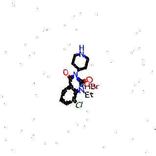 Br.CCn1c(=O)n(C2CCNCC2)c(=O)c2cccc(Cl)c21